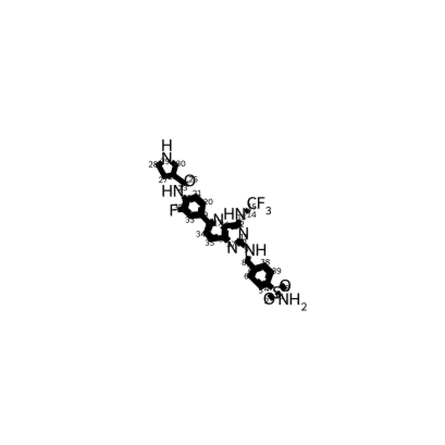 NS(=O)(=O)c1ccc(CNc2nc(NCC(F)(F)F)c3nc(-c4ccc(NC(=O)C5CCNC5)c(F)c4)ccc3n2)cc1